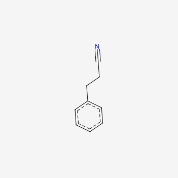 N#CCCc1cc[c]cc1